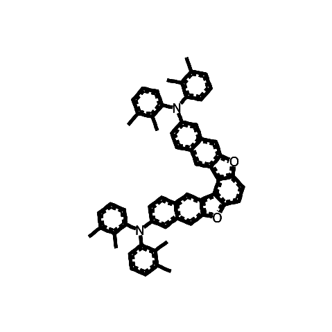 Cc1cccc(N(c2ccc3cc4c(cc3c2)oc2ccc3oc5cc6cc(N(c7cccc(C)c7C)c7cccc(C)c7C)ccc6cc5c3c24)c2cccc(C)c2C)c1C